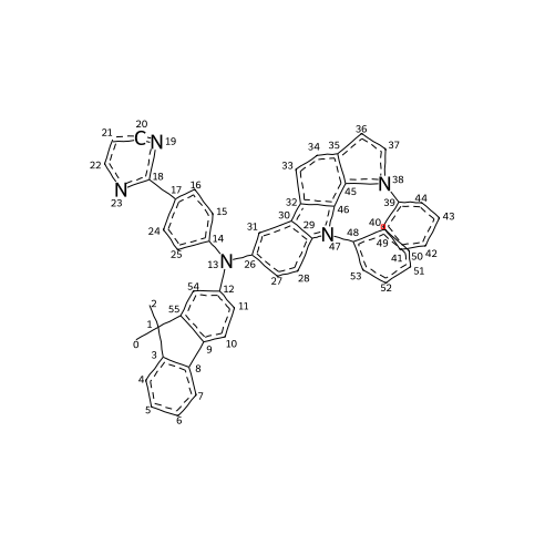 CC1(C)c2ccccc2-c2ccc(N(c3ccc(-c4ncccn4)cc3)c3ccc4c(c3)c3ccc5ccn(-c6ccccc6)c5c3n4-c3ccccc3)cc21